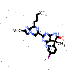 COc1cn2cc(-c3nc(N)c4c(n3)NC(=O)C4(C)c3ccc(I)cc3)nc(CCCC(F)(F)F)c2n1